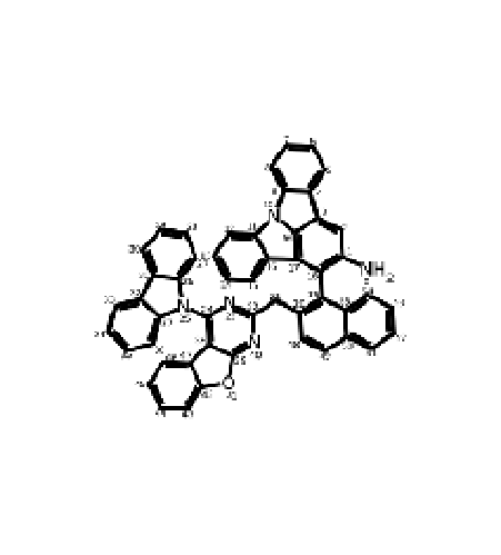 Nc1cc2c3ccccc3n3c4ccccc4c(c1-c1c(Cc4nc(-n5c6ccccc6c6ccccc65)c5c(n4)oc4ccccc45)ccc4ccccc14)c23